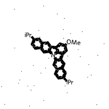 COc1cc2c3cc4cc(C(C)C)ccc4cc3n3c4cc5ccc(C(C)C)cc5cc4c(c1)c23